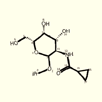 CC(C)OC1O[C@H](CO)[C@H](O)[C@H](O)[C@H]1NC(=O)C1CC1